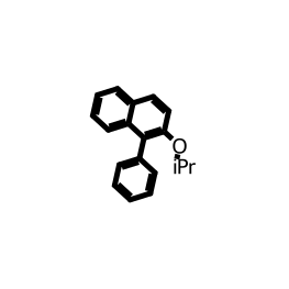 CC(C)Oc1ccc2ccccc2c1-c1ccccc1